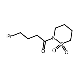 CC(C)CCCC(=O)N1CCCCS1(=O)=O